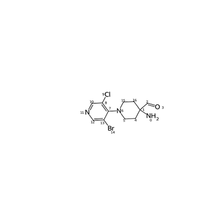 NC1(C=O)CCN(c2c(Cl)cncc2Br)CC1